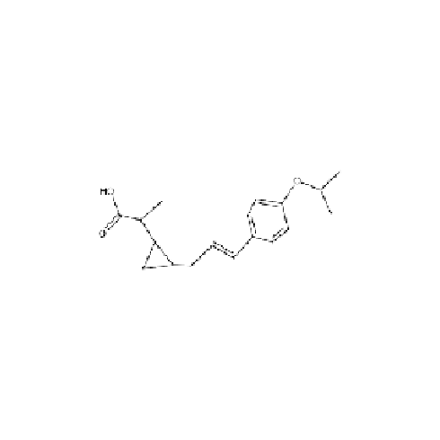 CC(C)Oc1ccc(C=CCC2CC2C(C)C(=O)O)cc1